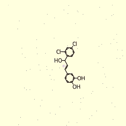 Oc1ccc(/C=C/C(O)c2ccc(Cl)cc2Cl)cc1O